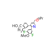 CCCOCc1cnc(-c2cc(F)c(OC)c(F)c2)c(-c2ccc(C(=O)O)c(C)c2)c1